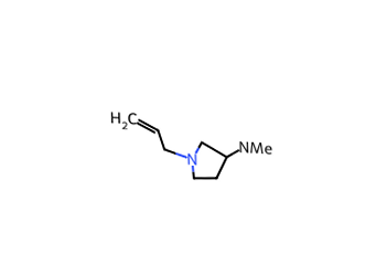 C=CCN1CCC(NC)C1